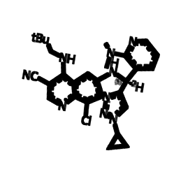 [2H][C@@](Nc1cc(Cl)c2ncc(C#N)c(NCC(C)(C)C)c2c1)(c1cn(C2CC2)nn1)c1cccnc1N(C)C